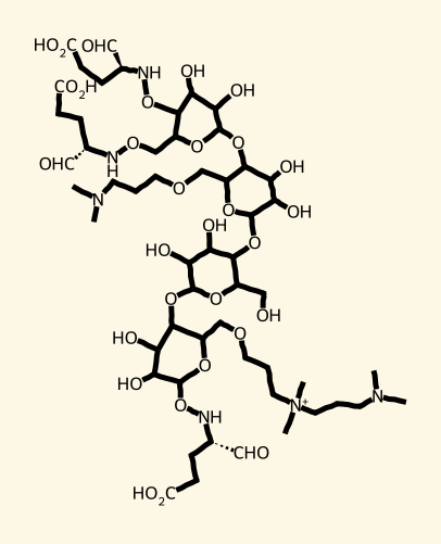 CN(C)CCCOCC1OC(OC2C(CO)OC(OC3C(COCCC[N+](C)(C)CCCN(C)C)OC(ON[C@H](C=O)CCC(=O)O)C(O)C3O)C(O)C2O)C(O)C(O)C1OC1OC(CON[C@H](C=O)CCC(=O)O)C(ON[C@H](C=O)CCC(=O)O)C(O)C1O